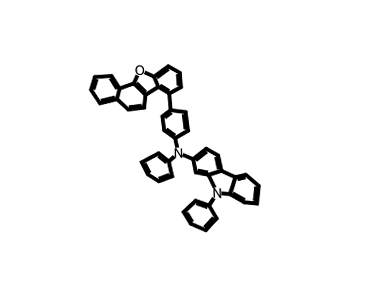 c1ccc(N(c2ccc(-c3cccc4oc5c6ccccc6ccc5c34)cc2)c2ccc3c4ccccc4n(-c4ccccc4)c3c2)cc1